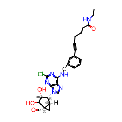 CCNC(=O)CCCC#Cc1cccc(CNc2nc(Cl)nc3c2ncn3[C@@H]2[C@H]3C[C@@]3(C=O)C(O)[C@@H]2O)c1